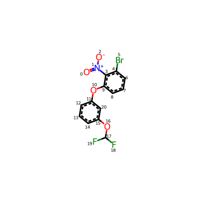 O=[N+]([O-])c1c(Br)cccc1Oc1cccc(OC(F)F)c1